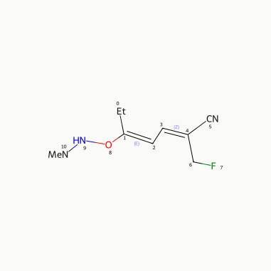 CC/C(=C\C=C(\C#N)CF)ONNC